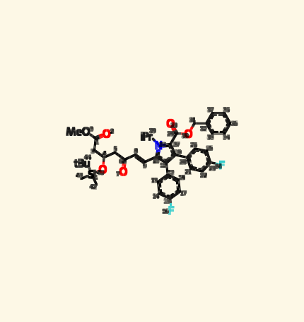 COC(=O)CC(CC(=O)C=Cc1c(-c2ccc(F)cc2)c(-c2ccc(F)cc2)c(C(=O)OCc2ccccc2)n1C(C)C)O[Si](C)(C)C(C)(C)C